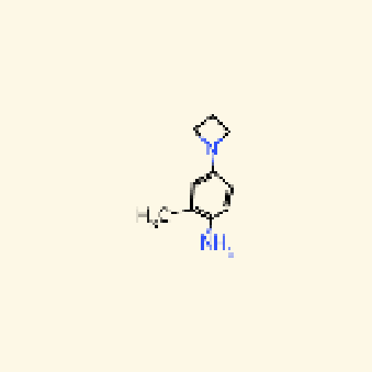 Cc1cc(N2CCC2)ccc1N